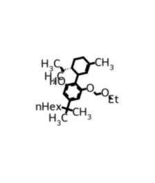 C=C(C)[C@@H]1CCC(C)=CC1c1c(O)cc(C(C)(C)CCCCCC)cc1OCOCC